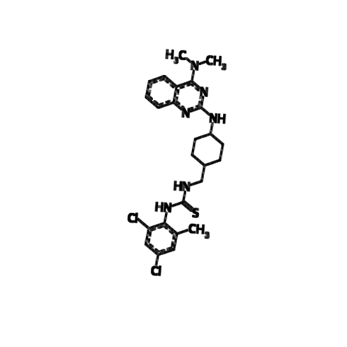 Cc1cc(Cl)cc(Cl)c1NC(=S)NCC1CCC(Nc2nc(N(C)C)c3ccccc3n2)CC1